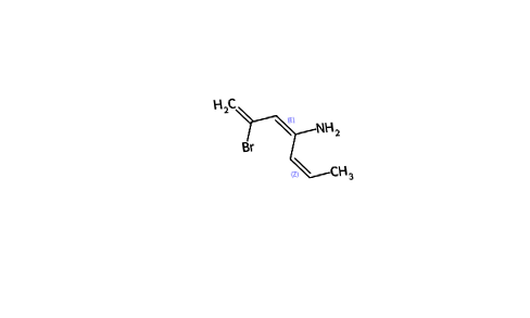 C=C(Br)/C=C(N)\C=C/C